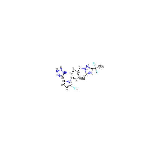 CCCCc1nc(C(F)(F)CCCC)nn1Cc1ccc(-n2c(F)ccc2-c2nnn[nH]2)cc1